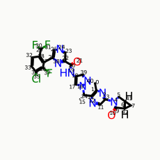 Cc1nc(N2C[C@H]3C[C@H]3C2=O)cnc1[C@H](C)n1cc(NC(=O)c2cncc(-c3c(C(F)F)ccc(Cl)c3F)n2)cn1